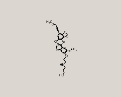 COCC#Cc1cc(Cl)c(Nc2ncnc3cc(OCCNCCCO)c(OC)cc23)c2c1OCO2